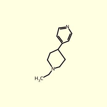 CCN1CCC(c2ccncc2)CC1